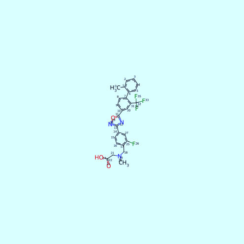 Cc1ccccc1-c1ccc(-c2nc(-c3ccc(CN(C)CC(=O)O)c(F)c3)no2)cc1C(F)(F)F